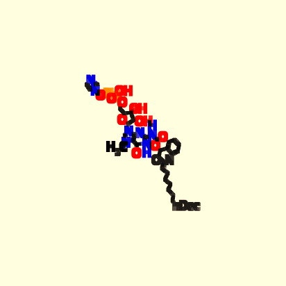 CCCCCCCCCCCCCCCCCCCC(OC(=O)Nc1nc2c(c(=O)[nH]1)[n+](C)cn2C1OC(COP(O)OPOn2ccnc2)C(O)C1O)c1ccccc1[N+](=O)[O-]